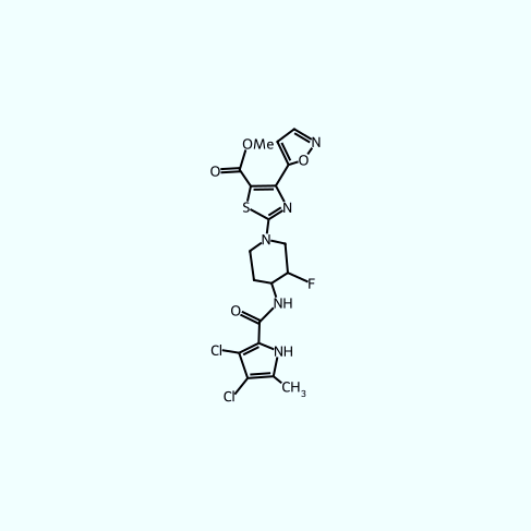 COC(=O)c1sc(N2CCC(NC(=O)c3[nH]c(C)c(Cl)c3Cl)C(F)C2)nc1-c1ccno1